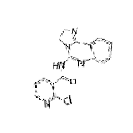 O=C(NC1=Nc2ccccc2C2=NCCN12)c1cccnc1Cl